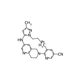 Cc1cc(Nc2cnc3c(c2)CN(c2ncc(C#N)cc2C)CC3)n(CCC(C)C)n1